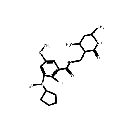 COc1cc(C(=O)NCC2C(=O)NC(C)CC2C)c(C)c(N(C)C2CCCC2)c1